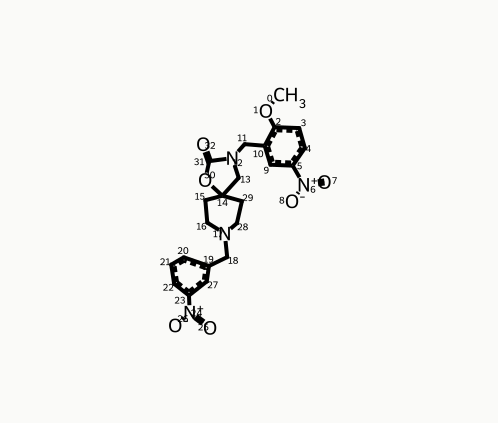 COc1ccc([N+](=O)[O-])cc1CN1CC2(CCN(Cc3cccc([N+](=O)[O-])c3)CC2)OC1=O